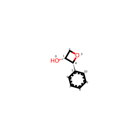 O[C@@H]1CO[C@@H]1c1ccccc1